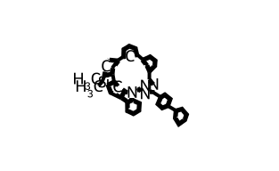 C[Si]1(C)c2ccc3cc2-c2cc4c(cc21)c1ccccc1n4-c1nc(-c2ccc(-c4ccccc4)cc2)nc(n1)-c1cccc(c1)-c1cccc-3c1